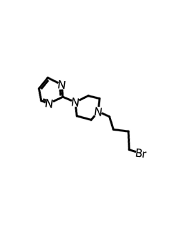 BrCCCCN1CCN(c2ncccn2)CC1